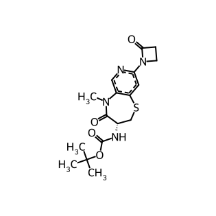 CN1C(=O)[C@@H](NC(=O)OC(C)(C)C)CSc2cc(N3CCC3=O)ncc21